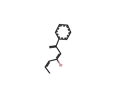 C=C(/C=C(Br)\C=C/C)c1ccccc1